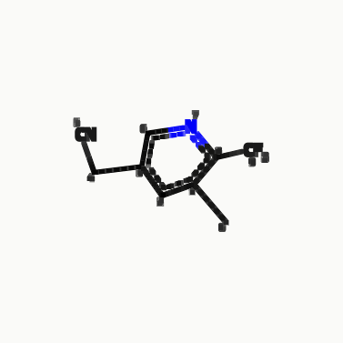 Cc1cc(CC#N)cnc1C(F)(F)F